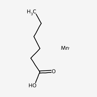 CCCCCC(=O)O.[Mn]